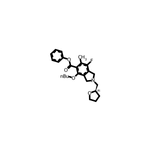 CCCCOc1c2c(c(F)c(C)c1C(=O)Oc1ccccc1)CN(C[C@H]1CCCO1)C2